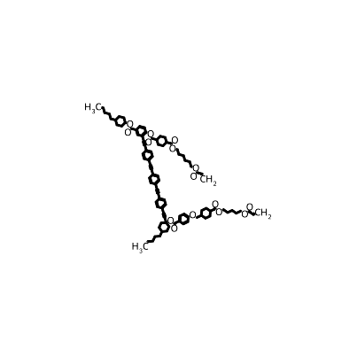 C=CC(=O)OCCCCCCOC(=O)C1CCC(C(=O)Oc2ccc(C(=O)OC3CCC(CCCCC)CC3)cc2C#Cc2ccc(C#Cc3ccc(C#Cc4ccc(C#CC5(OC(=O)c6ccc(OCC7CCC(C(=O)OCCCCCOC(=O)C=C)CC7)cc6)CCC(CCCCC)CC5)cc4)cc3)cc2)CC1